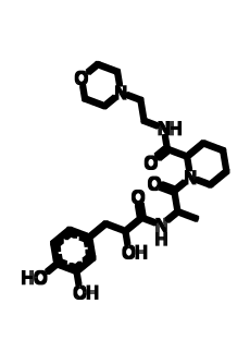 CC(NC(=O)C(O)Cc1ccc(O)c(O)c1)C(=O)N1CCCCC1C(=O)NCCN1CCOCC1